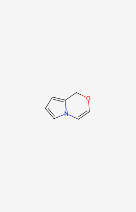 C1=Cn2cccc2CO1